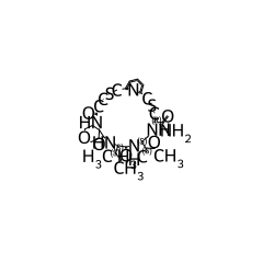 CC[C@H](C)[C@@H]1NC(=O)[C@H]([C@@H](C)CC)NC(=O)C2(CCOCC2)NC(=O)CCSCc2cccc(n2)CSC[C@@H](C(N)=O)NC1=O